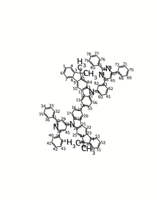 CC1(C)c2ccccc2-c2cc3c4cc(-c5ccc6c(c5)c5cc7c(cc5n6-c5cc(-c6ccccc6)nc(-c6ccccc6)c5)C(C)(C)c5ccccc5-7)ccc4n(-c4cccc(-c5cc(-c6ccccc6)nc(-c6ccccc6)n5)c4)c3cc21